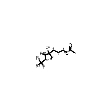 CC(=O)SCCCC(F)(F)C(F)CC(F)(F)F